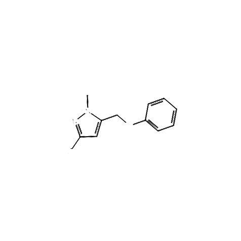 Cn1nc(Cl)cc1COc1ccccc1